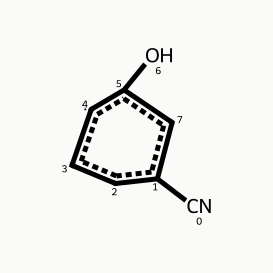 N#Cc1cc[c]c(O)c1